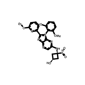 CCOc1cccc(-c2nc3ncc(N[C@]4([SH](=O)=O)C[C@H](O)C4)nc3n2-c2c(OC)cccc2OC)n1